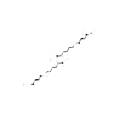 COC(=O)/C=C/C(=O)NCCCCC1NC(=O)C(CCCCNC(=O)/C=C/C(=O)O)NC1=O